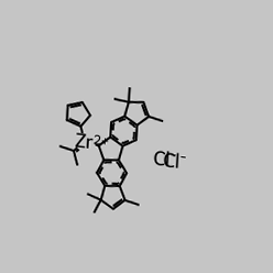 CC1=CC(C)(C)c2cc3c(cc21)-c1cc2c(cc1[CH]3[Zr+2]([C]1=CC=CC1)=[C](C)C)C(C)(C)C=C2C.[Cl-].[Cl-]